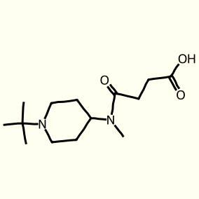 CN(C(=O)CCC(=O)O)C1CCN(C(C)(C)C)CC1